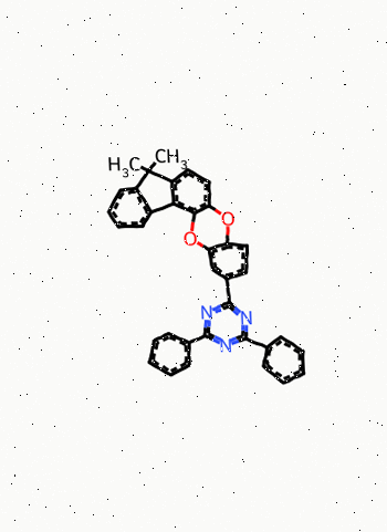 CC1(C)c2ccccc2-c2c1ccc1c2Oc2cc(-c3nc(-c4ccccc4)nc(-c4ccccc4)n3)ccc2O1